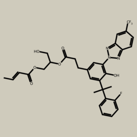 CC=CC(=O)OCC(CO)OC(=O)CCc1cc(-n2nc3ccc(C(F)(F)F)cc3n2)c(O)c(C(C)(C)c2ccccc2F)c1